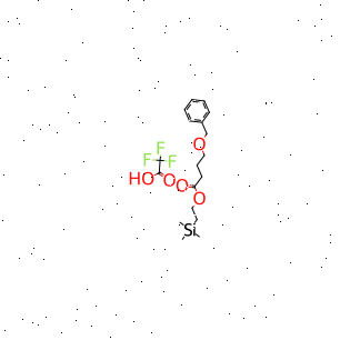 C[Si](C)(C)CCOC(=O)CCCOCc1ccccc1.O=C(O)C(F)(F)F